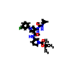 CC(C)(C)OC(=O)N1CCCC(NC(=O)c2cn(-c3cccc(F)c3)cc2NC(=O)NC2CC2)C1